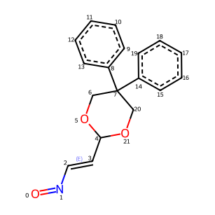 O=N/C=C/C1OCC(c2ccccc2)(c2ccccc2)CO1